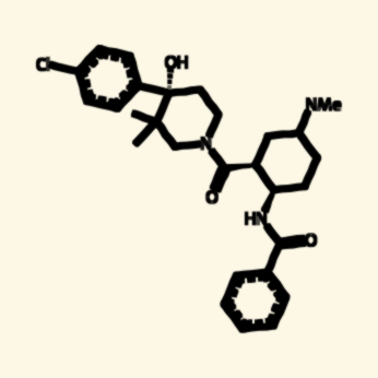 CNC1CC[C@@H](NC(=O)c2ccccc2)[C@@H](C(=O)N2CC[C@](O)(c3ccc(Cl)cc3)C(C)(C)C2)C1